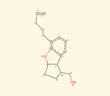 CCOC(=O)CCCc1cccc2c1OC1CCC(CO)C21